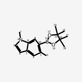 Cc1cc2ccn(C)c2cc1B1OC(C)(C)C(C)(C)O1